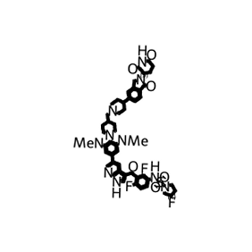 CNc1cc(-c2cnc3[nH]cc(C(=O)c4c(F)ccc(NS(=O)(=O)N5CC[C@@H](F)C5)c4F)c3c2)cc(NC)c1N1CCC(CN2CCC(c3ccc4c(c3)CN([C@H]3CCC(=O)NC3=O)C4=O)CC2)CC1